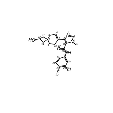 Cn1cnc(C2=CCC3(CC2)CC(O)C3)c1C(=O)Nc1ccc(F)c(Cl)c1